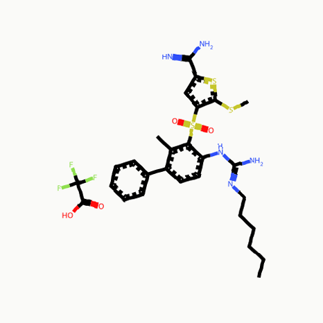 CCCCCCN=C(N)Nc1ccc(-c2ccccc2)c(C)c1S(=O)(=O)c1cc(C(=N)N)sc1SC.O=C(O)C(F)(F)F